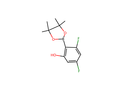 CC1(C)OB(c2c(O)cc(F)cc2F)OC1(C)C